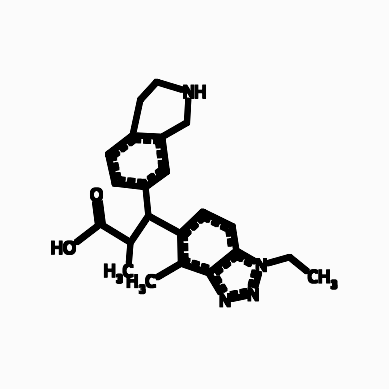 CCn1nnc2c(C)c(C(c3ccc4c(c3)CNCC4)C(C)C(=O)O)ccc21